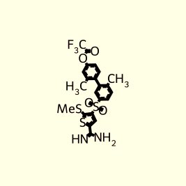 CSc1sc(C(=N)N)cc1S(=O)(=O)c1ccc(C)c(-c2ccc(OC(=O)C(F)(F)F)cc2C)c1